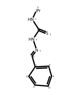 CC(C)NC(=S)NN=Cc1ccccc1